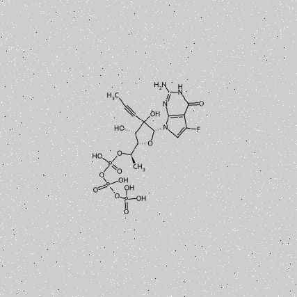 CC#CC1(O)[C@@H](O)[C@@H]([C@@H](C)OP(=O)(O)OP(=O)(O)OP(=O)(O)O)O[C@H]1n1cc(F)c2c(=O)[nH]c(N)nc21